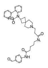 CN(CCCCC(=O)Nc1ccc(C=O)cc1)C(=O)CCN1CCC2(CC1)CC(N(C(=O)O)c1ccccc1-c1ccccc1)C2